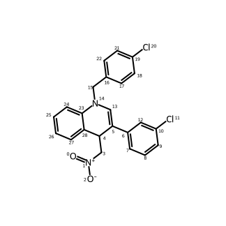 O=[N+]([O-])CC1C(c2cccc(Cl)c2)=CN(Cc2ccc(Cl)cc2)c2ccccc21